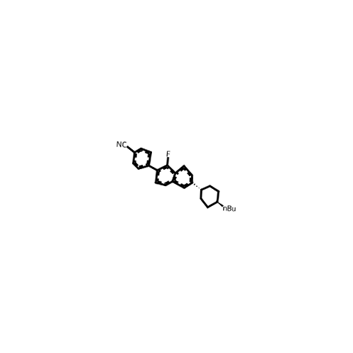 CCCC[C@H]1CC[C@H](c2ccc3c(F)c(-c4ccc(C#N)cc4)ccc3c2)CC1